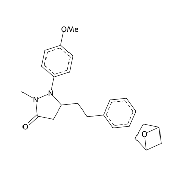 C1CC2CC1O2.COc1ccc(N2C(CCc3ccccc3)CC(=O)N2C)cc1